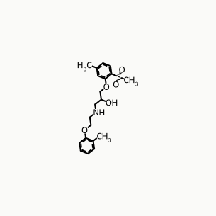 Cc1ccc(S(C)(=O)=O)c(OCC(O)CNCCOc2ccccc2C)c1